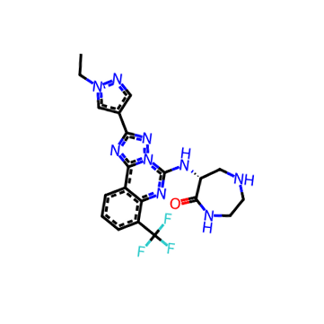 CCn1cc(-c2nc3c4cccc(C(F)(F)F)c4nc(N[C@@H]4CNCCNC4=O)n3n2)cn1